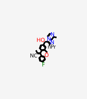 CCCc1nc2c(C)nccn2c1C(O)c1ccc2c(c1)COc1cc(F)ccc1/C2=C(/C)C#N